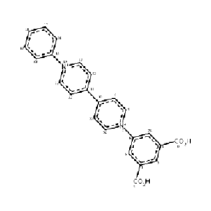 O=C(O)c1cc(C(=O)O)cc(-[n+]2ccc(-c3cc[n+](-c4ccccc4)cc3)cc2)c1